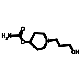 NC(=O)OC1CCN(CCCO)CC1